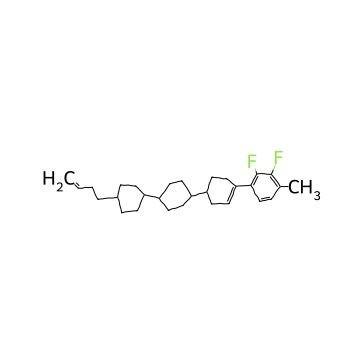 C=CCCC1CCC(C2CCC(C3CC=C(c4ccc(C)c(F)c4F)CC3)CC2)CC1